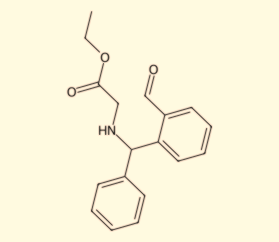 CCOC(=O)CNC(c1ccccc1)c1ccccc1C=O